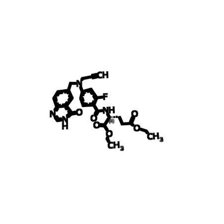 C#CCN(Cc1ccc2nc[nH]c(=O)c2c1)c1ccc(C(=O)N[C@H](CCC(=O)OCC)C(=O)OCC)c(F)c1